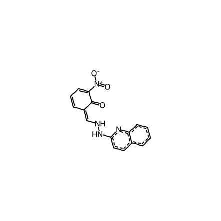 O=C1C(=CNNc2ccc3ccccc3n2)C=CC=C1[N+](=O)[O-]